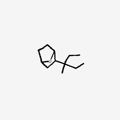 CCC(C)(CC)C1CC2CCC1O2